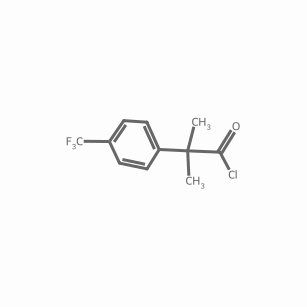 CC(C)(C(=O)Cl)c1ccc(C(F)(F)F)cc1